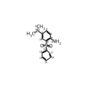 CN(C)c1ccc(N)c(S(=O)(=O)c2ccccc2)c1